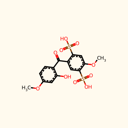 COc1ccc(C(=O)c2cc(S(=O)(=O)O)c(OC)cc2S(=O)(=O)O)c(O)c1